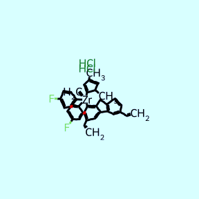 C=Cc1ccc2c(c1)-c1cc(C=C)c[c]([Zr](=[CH2])([C]3=CC(C)=CC3C)([c]3ccc(F)cc3)[c]3ccc(F)cc3)c1C2.Cl.Cl